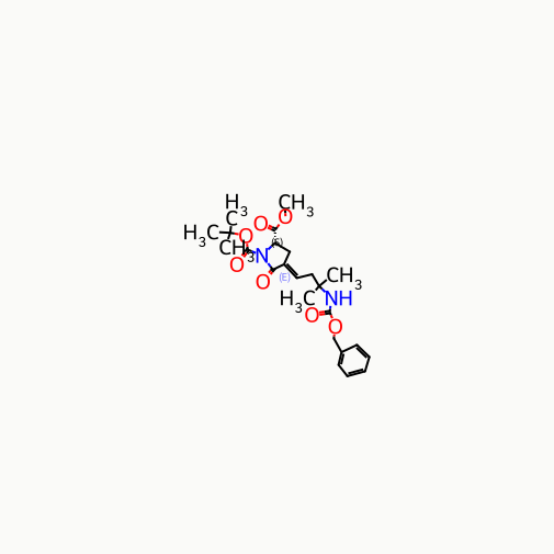 COC(=O)[C@@H]1C/C(=C\CC(C)(C)NC(=O)OCc2ccccc2)C(=O)N1C(=O)OC(C)(C)C